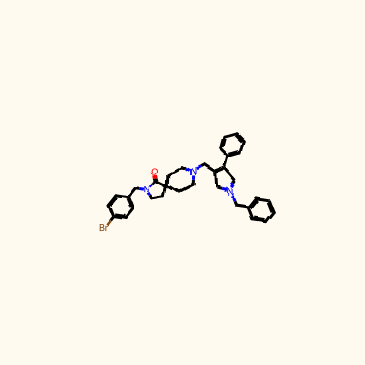 O=C1N(Cc2ccc(Br)cc2)CCC12CCN(CC1CN(Cc3ccccc3)CC1c1ccccc1)CC2